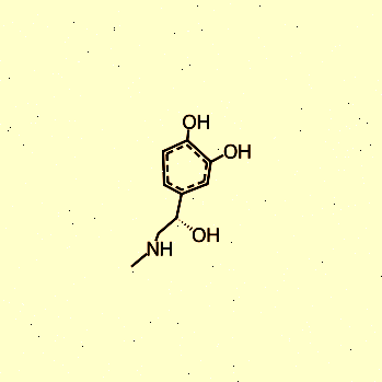 CNC[C@@H](O)c1ccc(O)c(O)c1